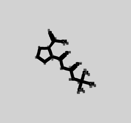 CC(=O)[C@@H]1CCCN1C(=O)CC(=O)OC(C)(C)C